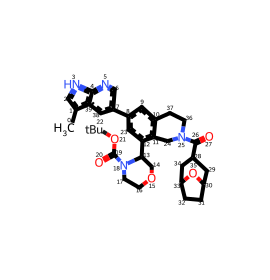 Cc1c[nH]c2ncc(-c3cc4c(c(C5COCCN5C(=O)OC(C)(C)C)c3)CN(C(=O)C3CC5CCC(C3)O5)CC4)cc12